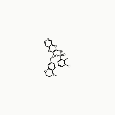 Cc1c(Cl)cccc1S(=O)(=O)Nc1nc2cnccc2nc1OCc1ccc2c(c1)OCCN2C